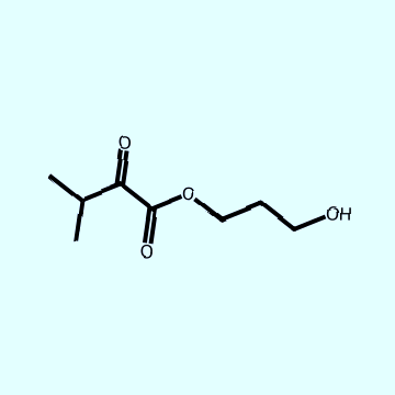 CC(C)C(=O)C(=O)OCCCO